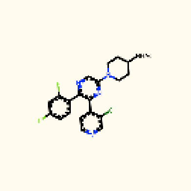 CC(=O)NC1CCN(c2cnc(-c3ccc(F)cc3F)c(-c3ccncc3Cl)n2)CC1